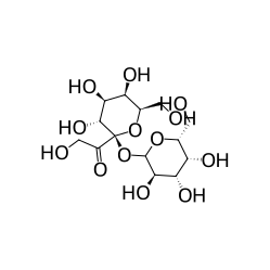 O=C(CO)[C@@]1(OC2O[C@H](CO)[C@H](O)[C@H](O)[C@H]2O)O[C@H](CO)[C@H](O)[C@H](O)[C@H]1O